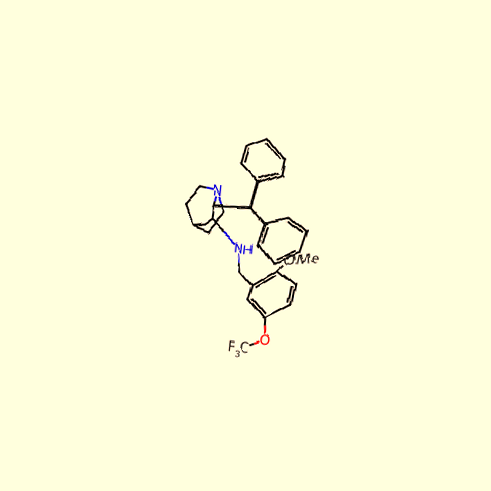 COc1ccc(OC(F)(F)F)cc1CNC1CC2CCN(CC2)C1C(c1ccccc1)c1ccccc1